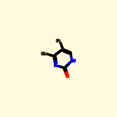 CC(C)c1c[nH]c(=O)nc1C(C)(C)C